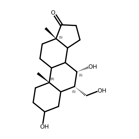 C[C@]12CCC(O)CC1[C@@H](CO)[C@@H](O)C1C2CC[C@]2(C)C(=O)CCC12